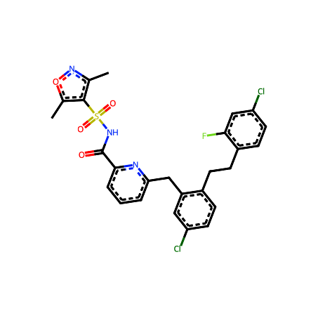 Cc1noc(C)c1S(=O)(=O)NC(=O)c1cccc(Cc2cc(Cl)ccc2CCc2ccc(Cl)cc2F)n1